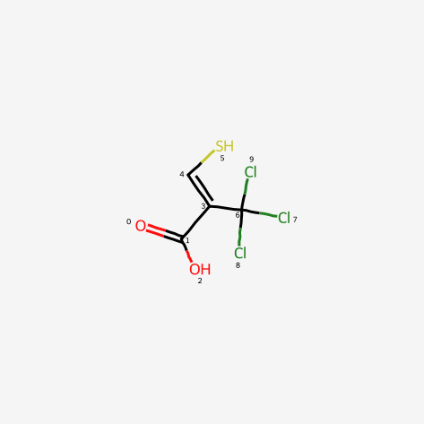 O=C(O)C(=CS)C(Cl)(Cl)Cl